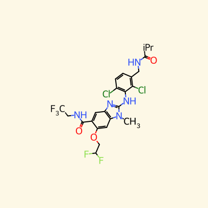 CC(C)C(=O)NCc1ccc(Cl)c(Nc2nc3cc(C(=O)NCC(F)(F)F)c(OCC(F)F)cc3n2C)c1Cl